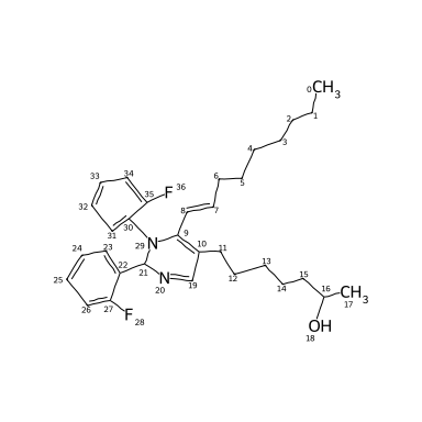 CCCCCCC/C=C/C1=C(CCCCCC(C)O)C=NC(c2ccccc2F)N1c1ccccc1F